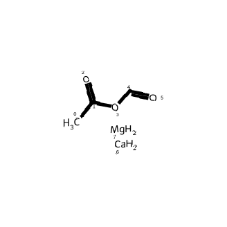 CC(=O)OC=O.[CaH2].[MgH2]